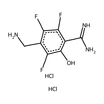 Cl.Cl.N=C(N)c1c(O)c(F)c(CN)c(F)c1F